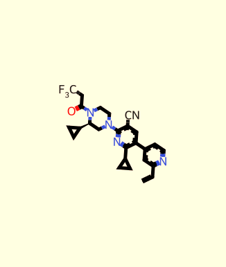 C=Cc1cc(-c2cc(C#N)c(N3CCN(C(=O)CC(F)(F)F)[C@H](C4CC4)C3)nc2C2CC2)ccn1